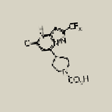 O=C(O)N1CCC(c2cc(=O)[nH]c3cc(C(F)(F)F)nn23)CC1